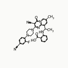 Cc1cc(C(C)Nc2ccccc2C(=O)O)c2nc(N3CCN(c4ccc(C#N)cc4F)CC3)c(C#N)c(=O)n2c1